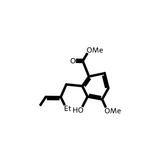 C/C=C(\CC)Cc1c(C(=O)OC)ccc(OC)c1O